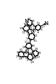 N#Cc1ccc(-n2c3ccccc3c3cc(-c4ccc(-n5c6ccccc6c6ccccc65)c(-c5ccccc5)c4)ccc32)c(-c2ccncc2)c1